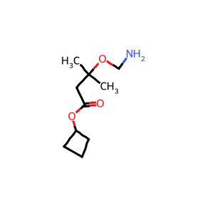 CC(C)(CC(=O)OC1CCC1)OCN